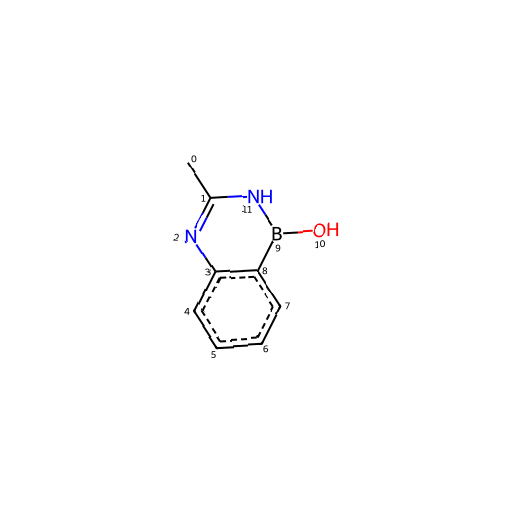 CC1=Nc2ccccc2B(O)N1